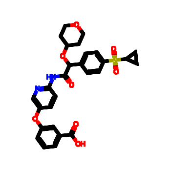 O=C(O)c1cccc(Oc2ccc(NC(=O)C(OC3CCOCC3)c3ccc(S(=O)(=O)C4CC4)cc3)nc2)c1